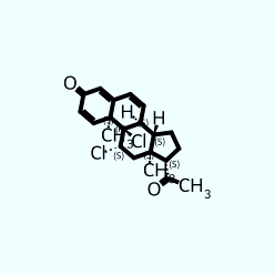 CC(=O)[C@H]1CC[C@H]2[C@@H]3C=CC4=CC(=O)C=C[C@]4(C)[C@@]3(Cl)[C@@H](Cl)C[C@]12C